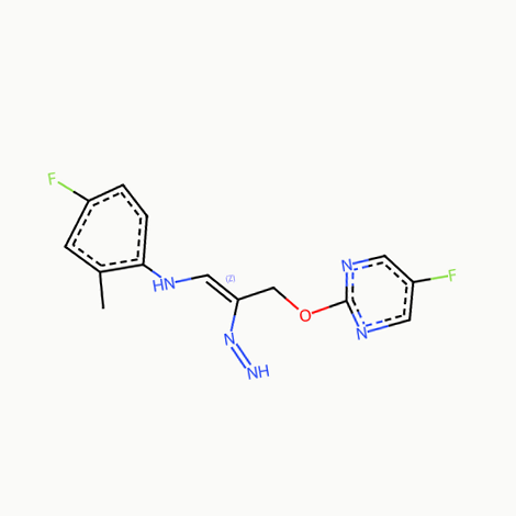 Cc1cc(F)ccc1N/C=C(/COc1ncc(F)cn1)N=N